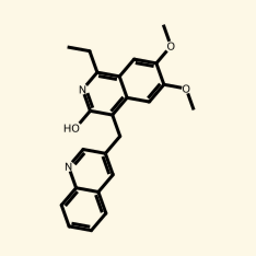 CCc1nc(O)c(Cc2cnc3ccccc3c2)c2cc(OC)c(OC)cc12